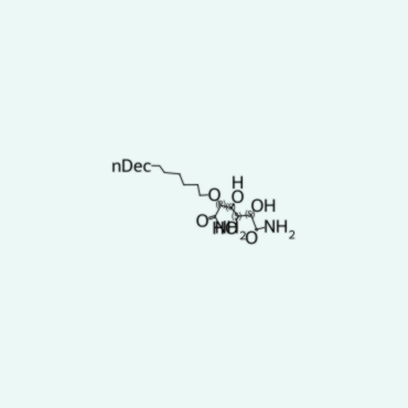 CCCCCCCCCCCCCCCCO[C@@H](C(N)=O)[C@@H](O)[C@H](O)[C@H](O)C(N)=O